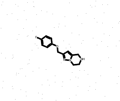 Fc1ccc(OCc2cc3n(n2)CCNC3)cc1